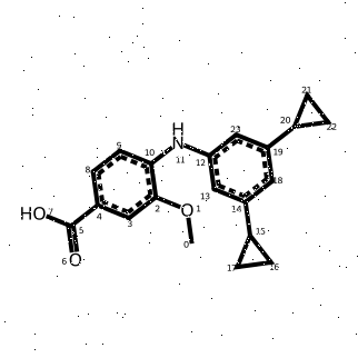 COc1cc(C(=O)O)ccc1Nc1cc(C2CC2)cc(C2CC2)c1